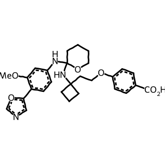 COc1cc(NC2(NC3(CCOc4ccc(C(=O)O)cc4)CCC3)CCCCO2)ccc1-c1cnco1